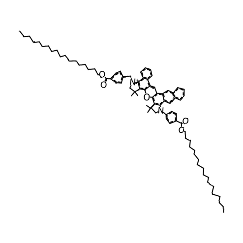 CCCCCCCCCCCCCCCCCCOC(=O)c1ccc(C[N+]2=c3c(c4c(c5ccccc35)=Cc3c(c5c(c6cc7ccccc7cc36)N(c3ccc(C(=O)OCCCCCCCCCCCCCCCCCC)cc3)CC5(C)C)O4)C(C)(C)C2)cc1